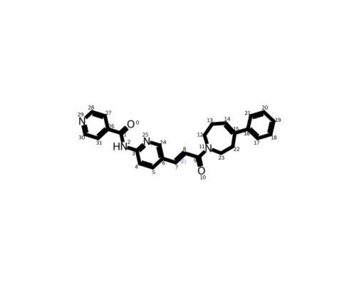 O=C(Nc1ccc(/C=C/C(=O)N2CCC=C(c3ccccc3)CC2)cn1)c1ccncc1